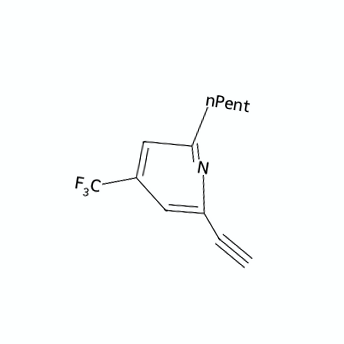 C#Cc1cc(C(F)(F)F)cc(CCCCC)n1